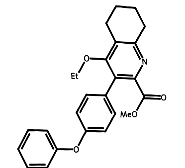 CCOc1c2c(nc(C(=O)OC)c1-c1ccc(Oc3ccccc3)cc1)CCCC2